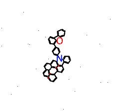 c1ccc(-c2ccc(-c3ccccc3N(c3ccc(-c4cccc5c4oc4ccccc45)cc3)c3ccc4c(ccc5ccccc54)c3)cc2)cc1